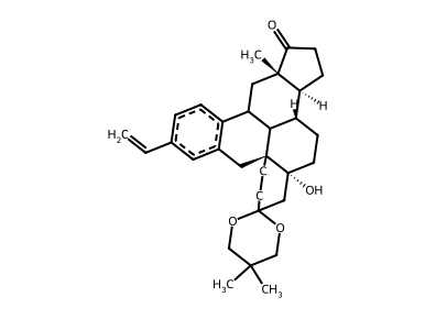 C=Cc1ccc2c(c1)C[C@]13CCC4(C[C@]1(O)CC[C@@H]1C3C2C[C@]2(C)C(=O)CC[C@@H]12)OCC(C)(C)CO4